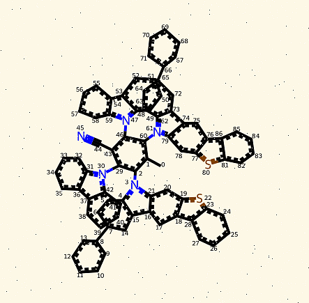 Cc1c(-n2c3ccc(-c4ccccc4)cc3c3cc4c(cc32)sc2ccccc24)c(-n2c3ccccc3c3ccccc32)c(C#N)c(-n2c3ccccc3c3ccccc32)c1-n1c2ccc(-c3ccccc3)cc2c2cc3c(cc21)sc1ccccc13